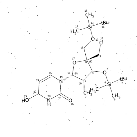 C[C@H]1C(O[Si](C)(C)C(C)(C)C)[C@@](CCl)(CO[Si](C)(C)C(C)(C)C)O[C@H]1N1C=CC(O)NC1=O